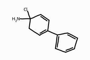 NC1(Cl)C=CC(c2ccccc2)=CC1